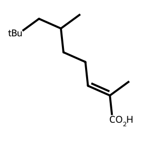 CC(=CCCC(C)CC(C)(C)C)C(=O)O